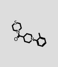 Cc1ccccc1N1CCC(C(=O)N2CCSCC2)CC1